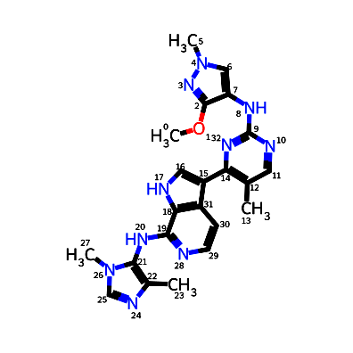 COc1nn(C)cc1Nc1ncc(C)c(-c2c[nH]c3c(Nc4c(C)ncn4C)nccc23)n1